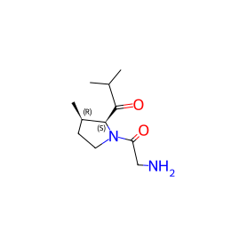 CC(C)C(=O)[C@@H]1[C@H](C)CCN1C(=O)CN